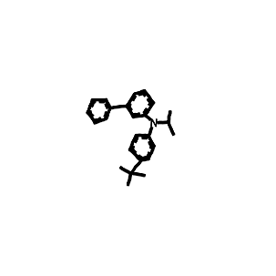 CC(C)N(c1ccc(C(C)(C)C)cc1)c1cccc(-c2ccccc2)c1